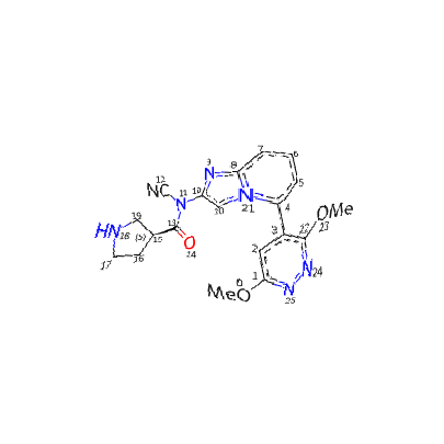 COc1cc(-c2cccc3nc(N(C#N)C(=O)[C@H]4CCNC4)cn23)c(OC)nn1